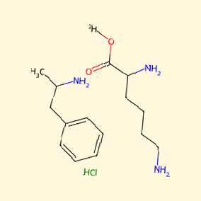 CC(N)Cc1ccccc1.Cl.[2H]OC(=O)C(N)CCCCN